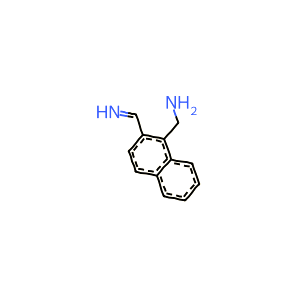 N=Cc1ccc2ccccc2c1CN